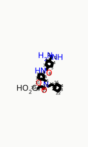 N=C(N)c1ccc(C(=O)Nc2ccc3c(c2)CN(CCc2ccccc2)C(=O)C(CC(=O)O)O3)cc1